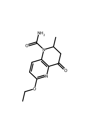 CCOc1ccc2c(n1)C(=O)CC(C)N2C(N)=O